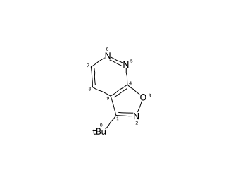 CC(C)(C)c1noc2nnccc12